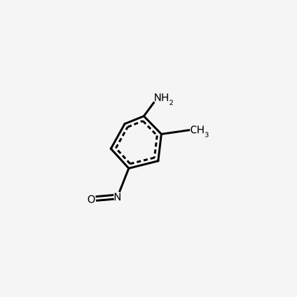 Cc1cc(N=O)ccc1N